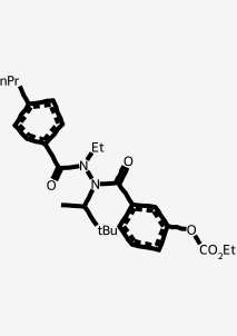 CCCc1ccc(C(=O)N(CC)N(C(=O)c2cccc(OC(=O)OCC)c2)C(C)C(C)(C)C)cc1